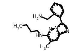 CCCCNc1nn2c(-c3ccccc3CN)cnc2cc1C